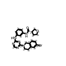 O=C(Nc1cccc(Nc2ncnc(N3CCc4cc(Br)ccc4C3)n2)c1)[C@H]1CCOC1